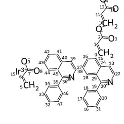 C=CC(=O)[O-].C=CC(=O)[O-].C=CC(=O)[O-].[Ir+3].c1ccc(-c2nccc3ccccc23)cc1.c1ccc(-c2nccc3ccccc23)cc1